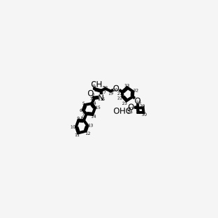 Cc1oc(-c2ccc(-c3ccccc3)cc2)nc1CCOc1ccc(OC2(OC=O)CCC2)cc1